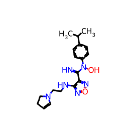 CC(C)c1ccc(N(O)C(=N)c2nonc2NCCN2C=CCC2)cc1